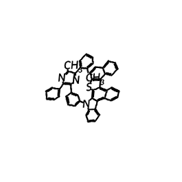 Cc1ccccc1-c1nc(-c2cccc(-n3c4ccccc4c4c5ccccc5c5c(sc6ccc7ccccc7c65)c43)c2)c(-c2ccccc2)nc1C